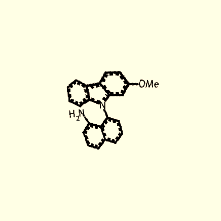 COc1ccc2c3ccccc3n(-c3cccc4cccc(N)c34)c2c1